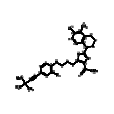 CNC(C)(C)C#Cc1ccc(OCCCc2sc(N3CCCc4c3nnc(Cl)c4C)nc2C(=O)OC)c(F)c1